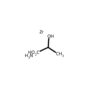 CC(O)C(=O)O.N.[Zr]